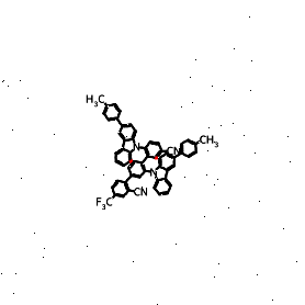 Cc1ccc(-c2ccc3c(c2)c2ccccc2n3-c2ccc(C#N)cc2-c2ccc(-c3ccc(C(F)(F)F)cc3C#N)cc2-n2c3ccccc3c3cc(-c4ccc(C)cc4)ccc32)cc1